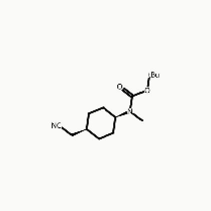 CN(C(=O)OC(C)(C)C)[C@H]1CC[C@@H](CC#N)CC1